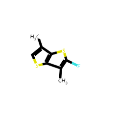 Cc1csc2c(C)c(F)sc12